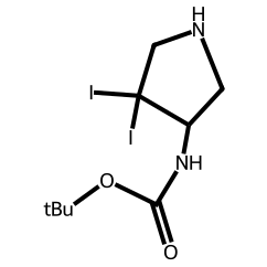 CC(C)(C)OC(=O)NC1CNCC1(I)I